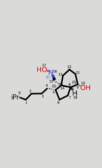 CC(C)CCCC[C@H]1CC[C@H]2[C@@H](O)CCC[C@]12/C=N/O